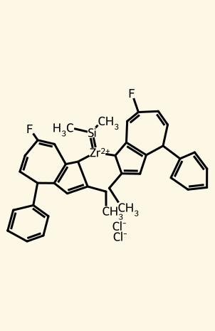 CCC1=CC2=C(C=C(F)C=CC2c2ccccc2)[CH]1[Zr+2]([CH]1C(CC)=CC2=C1C=C(F)C=CC2c1ccccc1)=[Si](C)C.[Cl-].[Cl-]